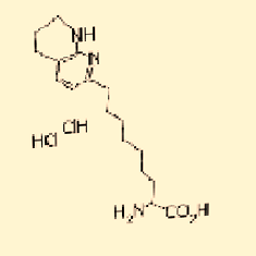 Cl.Cl.NC(CCCCCCCc1ccc2c(n1)NCCC2)C(=O)O